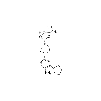 CC(C)(C)OC(=O)N1CCC(c2ccc(N)c(C3CCCC3)c2)CC1